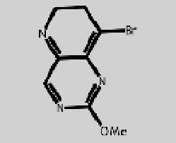 COc1ncc2c(n1)=C(Br)CCN=2